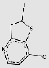 Clc1ccnc2c1SC(I)C2